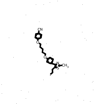 Cc1nc(-c2ccc(OCCCCCOc3ccc(C#N)cc3)cc2)c(CCI)s1